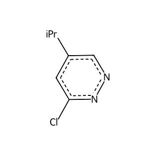 CC(C)c1cnnc(Cl)c1